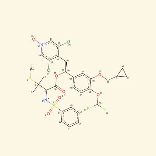 CC(=O)SC(C)(C)C(NS(=O)(=O)c1ccccc1)C(=O)O[C@@H](Cc1c(Cl)c[n+]([O-])cc1Cl)c1ccc(OC(F)F)c(OCC2CC2)c1